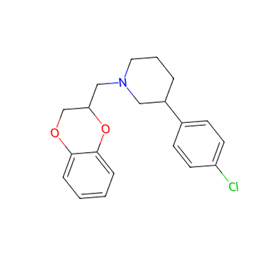 Clc1ccc(C2CCCN(CC3COc4ccccc4O3)C2)cc1